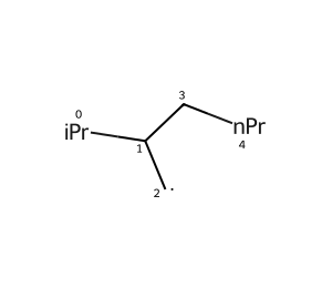 [CH2]C(C)C([CH2])CCCC